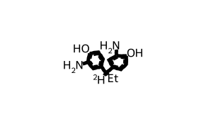 [2H]C(CC)(c1ccc(O)c(N)c1)c1ccc(O)c(N)c1